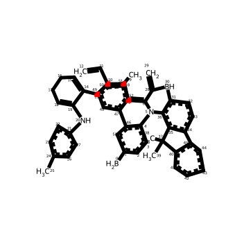 Bc1ccc(N2/C(=C/C(C)=C(/C=C)CC3=CCCC=C3Nc3ccc(C)cc3)C(=C)Bc3ccc4c(c32)C(C)(C)c2ccccc2-4)c(-c2ccccc2)c1